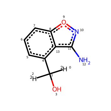 [2H]C([2H])(O)c1cccc2onc(N)c12